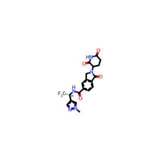 Cn1cc([C@@H](NC(=O)c2ccc3c(c2)CN(C2CCC(=O)NC2=O)C3=O)C(F)(F)F)cn1